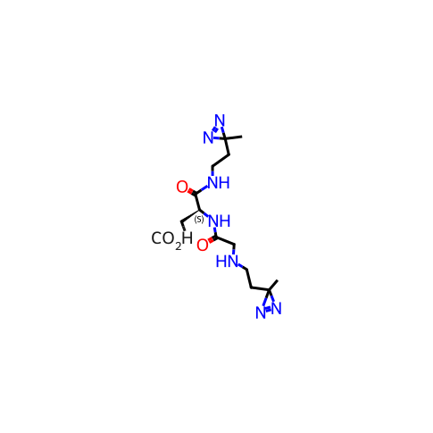 CC1(CCNCC(=O)N[C@@H](CC(=O)O)C(=O)NCCC2(C)N=N2)N=N1